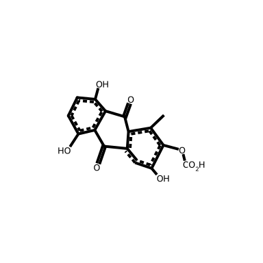 Cc1c(OC(=O)O)c(O)cc2c1C(=O)c1c(O)ccc(O)c1C2=O